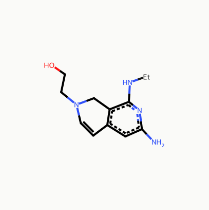 CCNc1nc(N)cc2c1CN(CCO)C=C2